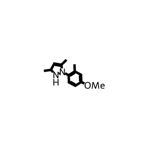 COc1ccc(N2NC(C)C=C2C)c(C)c1